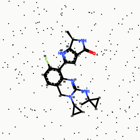 C[C@H]1NC(=O)c2cc(-c3c(F)ccc4c3N=C(NC3(C)CC3)N(C3CC3)C4)[nH]c21